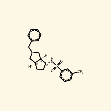 O=S(=O)(N[C@@H]1CC[C@H]2CN(Cc3ccccc3)C[C@H]21)c1cccc(C(F)(F)F)c1